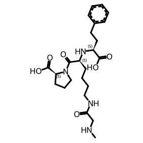 CNCC(=O)NCCCC[C@H](N[C@@H](CCc1ccccc1)C(=O)O)C(=O)N1CCC[C@H]1C(=O)O